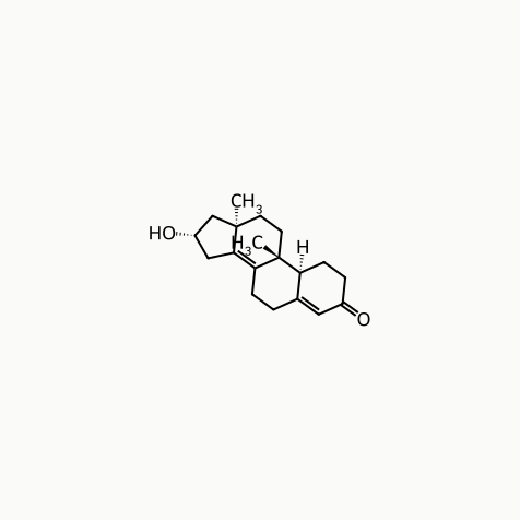 C[C@]12CC[C@@]3(C)C(=C1C[C@H](O)C2)CCC1=CC(=O)CC[C@@H]13